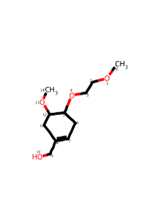 COCCOC1CC=C(CO)CC1OC